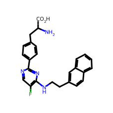 NC(Cc1ccc(-c2ncc(F)c(NCCc3ccc4ccccc4c3)n2)cc1)C(=O)O